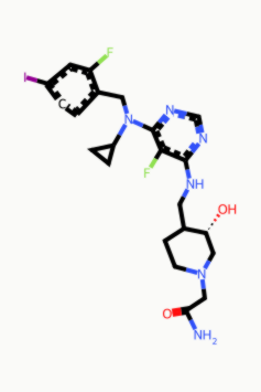 NC(=O)CN1CCC(CNc2ncnc(N(Cc3ccc(I)cc3F)C3CC3)c2F)[C@H](O)C1